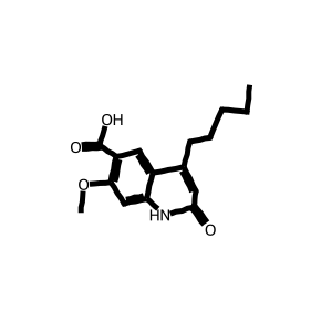 CCCCCc1cc(=O)[nH]c2cc(OC)c(C(=O)O)cc12